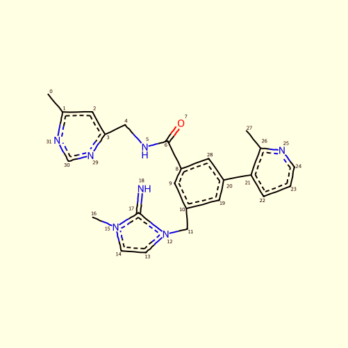 Cc1cc(CNC(=O)c2cc(Cn3ccn(C)c3=N)cc(-c3cccnc3C)c2)ncn1